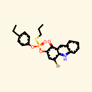 CCCSP(=O)(Oc1ccc(CC)cc1)Oc1cc(Br)c2[nH]c3ccccc3cc-2c1=O